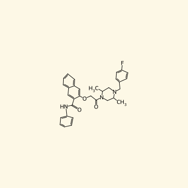 CC1CN(C(=O)COc2cc3ccccc3cc2C(=O)Nc2ccccc2)C(C)CN1Cc1ccc(F)cc1